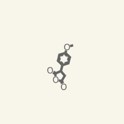 COc1ccc(C2CC(=O)OC2=O)cc1